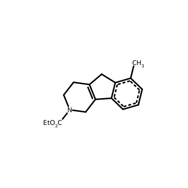 CCOC(=O)N1CCC2=C(C1)c1cccc(C)c1C2